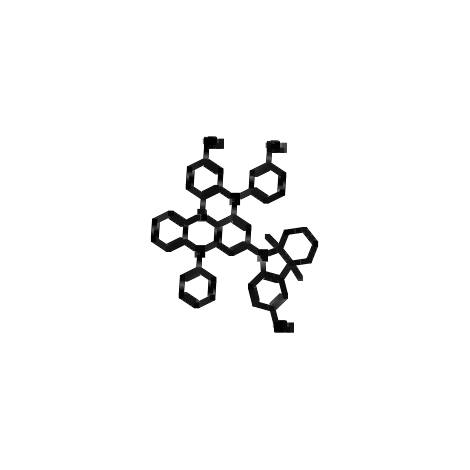 CC(C)(C)c1cccc(N2c3cc(C(C)(C)C)ccc3B3c4ccccc4N(c4ccccc4)c4cc(N5c6ccc(C(C)(C)C)cc6C6(C)CCCCC56C)cc2c43)c1